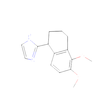 COc1ccc2c(c1OC)CCCC2c1ncc[nH]1